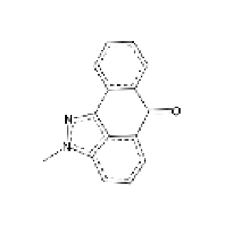 Cn1nc2c3c(cccc31)C(=O)c1ccccc1-2